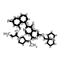 C=CC(=O)N1CCC(N(C)c2nc(OCC34CCCN3CCC4)nc3c(F)c(-c4cccc5cc(F)cc(F)c45)ncc23)C1